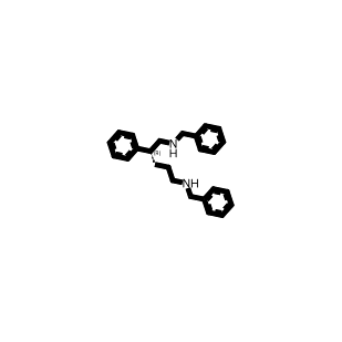 c1ccc(CNCCC[C@@H](CNCc2ccccc2)c2ccccc2)cc1